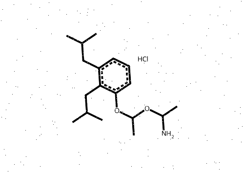 CC(C)Cc1cccc(OC(C)OC(C)N)c1CC(C)C.Cl